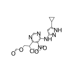 O=COCC(Cl)c1ncnc(Nc2cc(C3CC3)[nH]n2)c1[N+](=O)[O-]